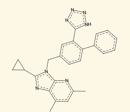 Cc1cc(C)c2nc(C3CC3)n(Cc3ccc(-c4ccccc4)c(-c4nnn[nH]4)c3)c2n1